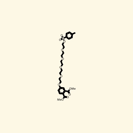 COC(=O)c1ccc(OCCOCCOCCOCCOCCOS(=O)(=O)c2ccc(C)cc2)cc1C(=O)OC